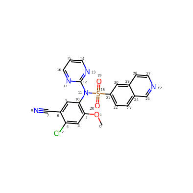 COc1cc(Cl)c(C#N)cc1N(c1ncccn1)S(=O)(=O)c1ccc2cnccc2c1